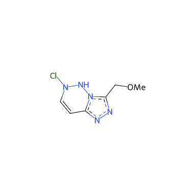 COCc1nnc2n1NN(Cl)C=C2